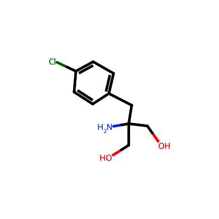 NC(CO)(CO)Cc1ccc(Cl)cc1